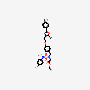 CCOC(=O)CN(Cc1ccc(OCCc2nc(-c3ccc(C)cc3)oc2C)cc1)S(=O)(=O)N(C)c1ccc(Cl)cc1